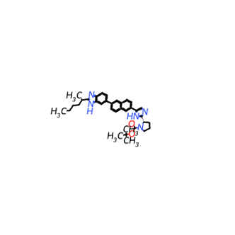 CCCC[C@H](C)c1nc2ccc(-c3ccc4cc(-c5cnc([C@@H]6CCCN6C(=O)OC(C)(C)C)[nH]5)ccc4c3)cc2[nH]1